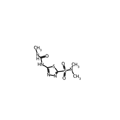 CNC(=O)Nc1nnc(S(=O)(=O)N(C)C)s1